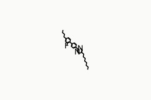 CCCCCCCCc1cnc(-c2ccc(-c3ccc(CCCC)cc3F)cc2)nc1